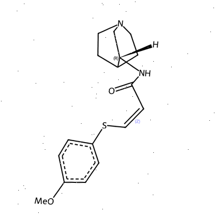 COc1ccc(S/C=C\C(=O)N[C@H]2CN3CCC2CC3)cc1